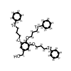 OCc1cc(OCCC[Te]c2ccccc2)c(OCCC[Te]c2ccccc2)c(OCCC[Te]c2ccccc2)c1